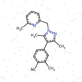 Cc1cccc(Cn2nc(C)c(-c3ccc(C#N)c(C)c3)c2C)n1